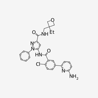 CCC1(CNC(=O)c2cc(NC(=O)c3cc(-c4cccc(N)n4)ccc3Cl)n(-c3ccccc3)n2)COC1